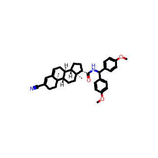 COc1ccc(C(NC(=O)[C@H]2CC[C@H]3[C@@H]4CC=C5C=C(C#N)CC[C@]5(C)[C@H]4CC[C@]23C)c2ccc(OC)cc2)cc1